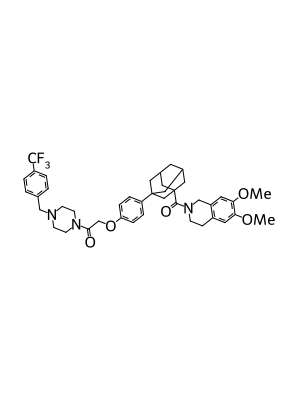 COc1cc2c(cc1OC)CN(C(=O)C13CC4CC(C1)CC(c1ccc(OCC(=O)N5CCN(Cc6ccc(C(F)(F)F)cc6)CC5)cc1)(C4)C3)CC2